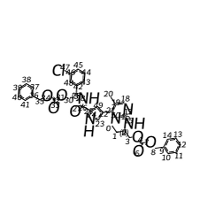 CC[C@H](COC(=O)OCc1ccccc1)Nc1ncc(C)c(-c2c[nH]c(C(=O)N[C@H](COC(=O)OCc3ccccc3)c3cccc(Cl)c3)c2)n1